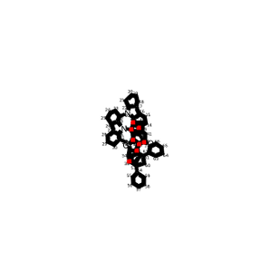 O=C1c2cccc(-n3c4c(-n5c6ccccc6c6ccccc65)cccc4c4cccc(-n5c6ccccc6c6ccccc65)c43)c2C(=O)N1c1ccc(-c2ccccc2)cc1-c1ccccc1